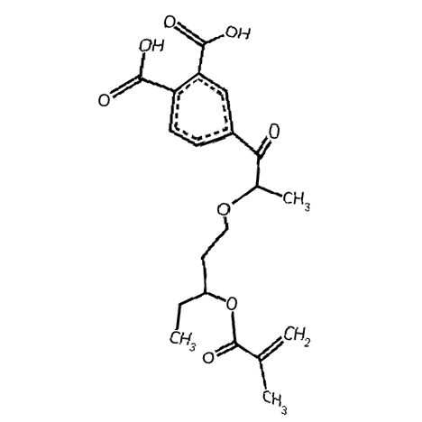 C=C(C)C(=O)OC(CC)CCOC(C)C(=O)c1ccc(C(=O)O)c(C(=O)O)c1